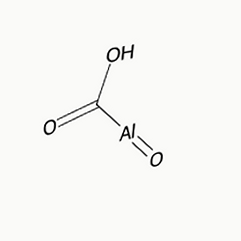 [O]=[Al][C](=O)O